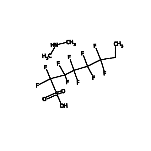 CCC(F)(F)C(F)(F)C(F)(F)C(F)(F)C(F)(F)S(=O)(=O)O.CNC